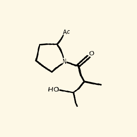 CC(=O)C1CCCN1C(=O)C(C)C(C)O